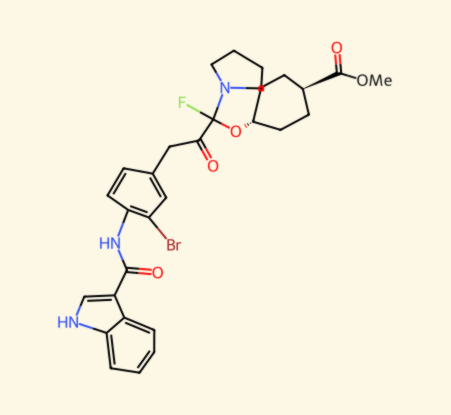 COC(=O)[C@H]1CC[C@H](OC(F)(C(=O)Cc2ccc(NC(=O)c3c[nH]c4ccccc34)c(Br)c2)N2CCCC2)CC1